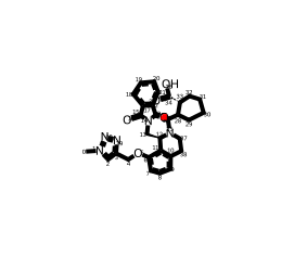 Cn1cc(COc2cccc3c2[C@@H](CN2C(=O)c4ccccc4C2=O)N(C(=O)C2CCCC[C@H]2C(=O)O)CC3)nn1